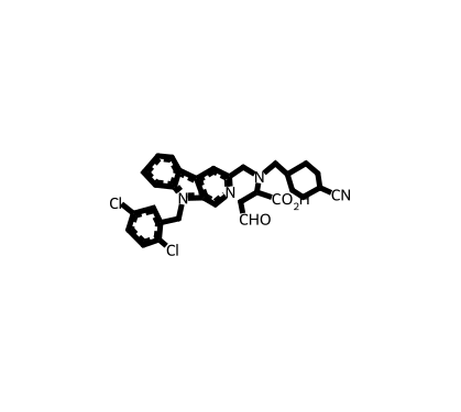 N#CC1CCC(CN(Cc2cc3c4ccccc4n(Cc4cc(Cl)ccc4Cl)c3cn2)C(CC=O)C(=O)O)CC1